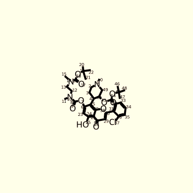 CN1CCC(c2c(OC(=O)N(C)CCN(C)C(=O)OC(C)(C)C)cc(O)c3c(=O)cc(-c4ccccc4Cl)oc23)C(OC(=O)OC(C)(C)C)C1